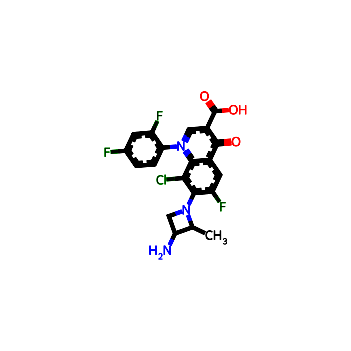 CC1C(N)CN1c1c(F)cc2c(=O)c(C(=O)O)cn(-c3ccc(F)cc3F)c2c1Cl